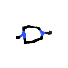 CC(=O)N1CCCN(C)CCC1